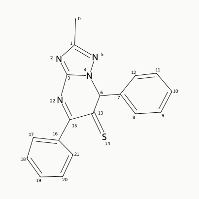 Cc1nc2n(n1)C(c1ccccc1)C(=S)C(c1ccccc1)=N2